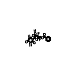 C[C@]1(O)[C@H](n2ccc(=O)[nH]c2=O)O[C@](F)(COC(=O)c2ccccc2)[C@H]1F